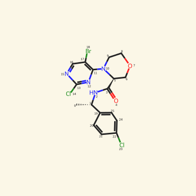 C[C@H](NC(=O)[C@@H]1COCCN1c1nc(Cl)ncc1Br)c1ccc(Cl)cc1